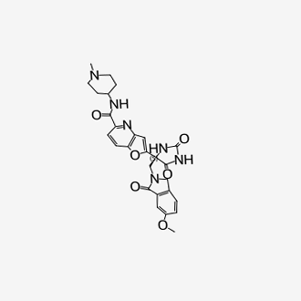 COc1ccc2c(c1)C(=O)N(C[C@@]1(c3cc4nc(C(=O)NC5CCN(C)CC5)ccc4o3)NC(=O)NC1=O)C2